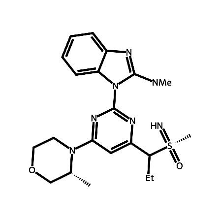 CCC(c1cc(N2CCOC[C@H]2C)nc(-n2c(NC)nc3ccccc32)n1)[S@@](C)(=N)=O